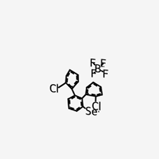 Clc1ccccc1-c1cccc([Se])c1-c1ccccc1Cl.F[B-](F)(F)F